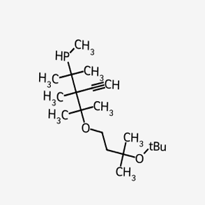 C#CC(C)(C(C)(C)OCCC(C)(C)OC(C)(C)C)C(C)(C)PC